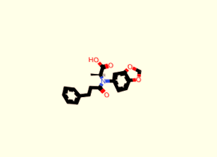 C[C@@H](C(=O)O)N(C(=O)CCc1ccccc1)c1ccc2c(c1)OCO2